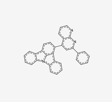 c1ccc(-c2cc(-c3ccc4c5ccccc5n5c6ccccc6c3c45)c3cccnc3n2)cc1